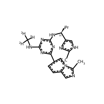 [2H]C([2H])([2H])Nc1nc(N[C@H](c2c[nH]c(C(F)(F)F)n2)C(C)C)nc(-c2ccc3cnc(C)n3c2)n1